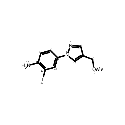 COCc1cnn(-c2ccc(N)c(I)c2)c1